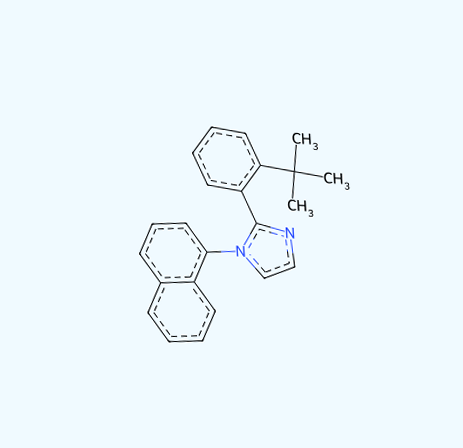 CC(C)(C)c1ccccc1-c1nccn1-c1cccc2ccccc12